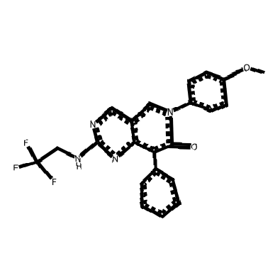 COc1ccc(-n2cc3cnc(NCC(F)(F)F)nc3c(-c3ccccc3)c2=O)cc1